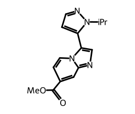 COC(=O)c1ccn2c(-c3ccnn3C(C)C)cnc2c1